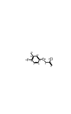 C=C(Cl)COc1ccc(F)c(C)c1